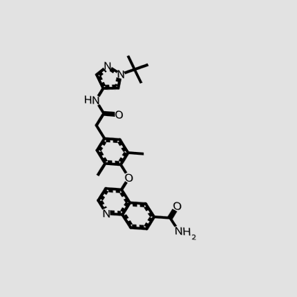 Cc1cc(CC(=O)Nc2cnn(C(C)(C)C)c2)cc(C)c1Oc1ccnc2ccc(C(N)=O)cc12